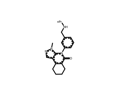 CCCNCc1cccc(-n2c(=O)c3c(c4cnn(C)c42)CCCC3)c1